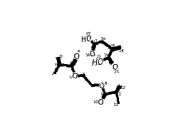 C=C(C)C(=O)OCCOC(=O)C(=C)C.C=C(CC(=O)O)C(=O)O